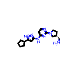 NC[C@H]1CCN(c2nccc(Nc3cc(C4CCCC4)[nH]n3)n2)C1